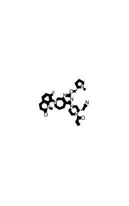 C=CC(=O)N1CCN(c2nc(OC[C@@H]3CCCN3C)nc3c2CCCN(c2c(F)ccc4c2N(C)C(=O)CC4)C3)C[C@@H]1CC#N